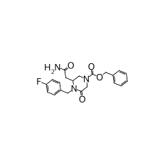 NC(=O)CC1CN(C(=O)OCc2ccccc2)CC(=O)N1Cc1ccc(F)cc1